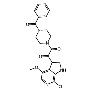 COc1cnc(Cl)c2c1C(C(=O)C(=O)N1CCN(C(=O)c3ccccc3)CC1)CN2